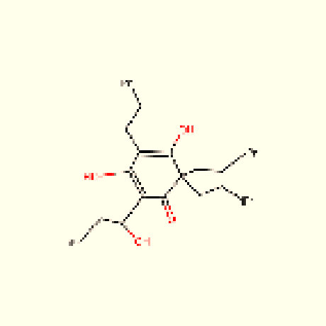 CC(C)CCC1=C(O)C(CCC(C)C)(CCC(C)C)C(=O)C(C(O)CC(C)C)=C1O